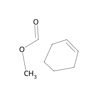 C1=CCCCC1.COC=O